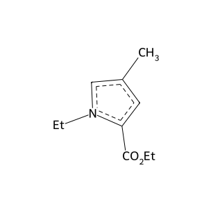 CCOC(=O)c1cc(C)cn1CC